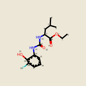 CCOC(=O)C(CC(C)C)NC(=O)Nc1cccc(F)c1O